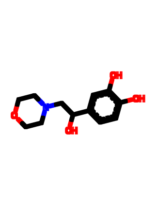 Oc1ccc(C(O)CN2CCOCC2)cc1O